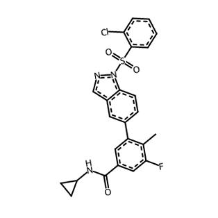 Cc1c(F)cc(C(=O)NC2CC2)cc1-c1ccc2c(cnn2S(=O)(=O)c2ccccc2Cl)c1